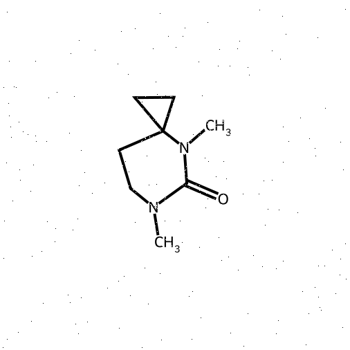 CN1CCC2(CC2)N(C)C1=O